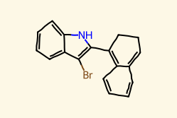 Brc1c(C2=c3ccccc3=CCC2)[nH]c2ccccc12